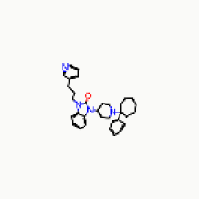 O=c1n(CCCc2cccnc2)c2ccccc2n1C1CCN(C2(c3ccccc3)CCCCCC2)CC1